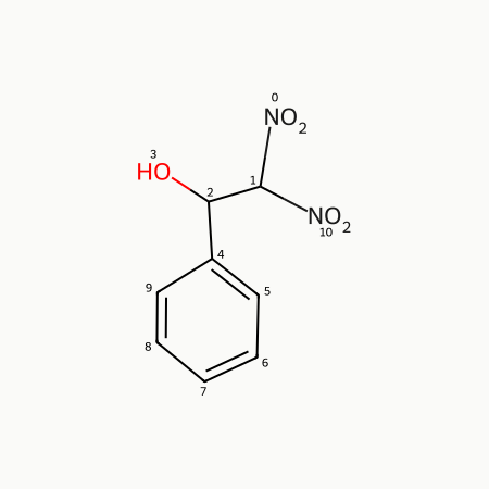 O=[N+]([O-])C(C(O)c1ccccc1)[N+](=O)[O-]